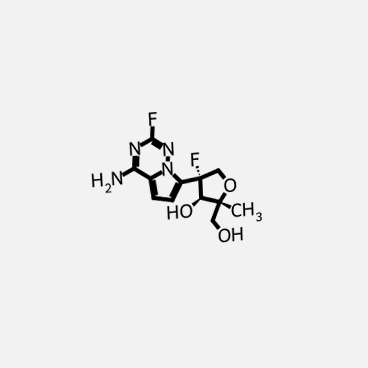 C[C@]1(CO)OC[C@](F)(c2ccc3c(N)nc(F)nn23)[C@@H]1O